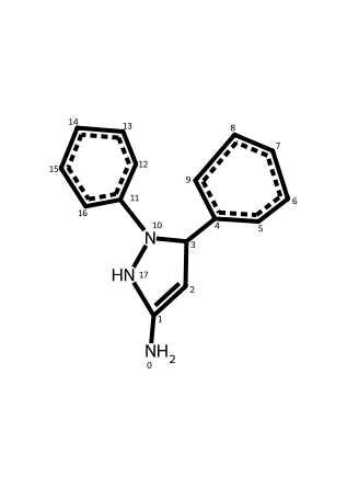 NC1=CC(c2ccccc2)N(c2ccccc2)N1